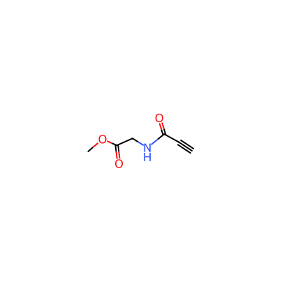 C#CC(=O)NCC(=O)OC